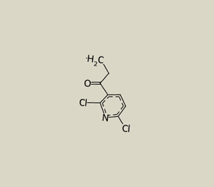 [CH2]CC(=O)c1ccc(Cl)nc1Cl